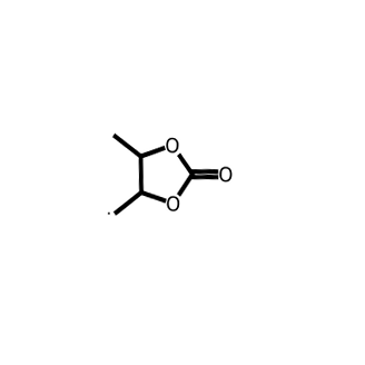 [CH2]C1OC(=O)OC1C